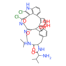 CC(C)C(N)C(=O)N[C@@H]1Cc2ccc(O)c(c2)[C@]2(C(C)O)c3cccc(c3O)-c3cccc4[nH]c(Cl)c(c34)-c3oc(nc3Cl)-c3nc(oc32)[C@@H](C(C)C)NC1=O